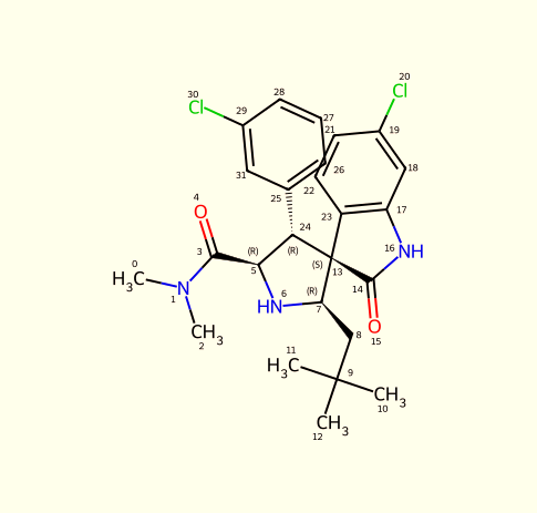 CN(C)C(=O)[C@@H]1N[C@H](CC(C)(C)C)[C@]2(C(=O)Nc3cc(Cl)ccc32)[C@H]1c1cccc(Cl)c1